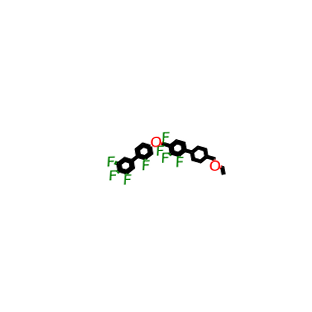 CCOCC1CCC(c2ccc(C(F)(F)Oc3ccc(-c4cc(F)c(F)c(F)c4)c(F)c3)c(F)c2F)CC1